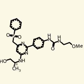 COCCNC(=O)Nc1ccc(-c2nc(CS(=O)(=O)c3ccccc3)cc(N[C@@H](C)CO)n2)cc1